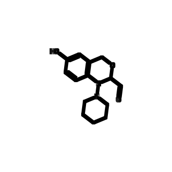 O=CC1OCc2cc(O)ccc2N1N1CCCCC1